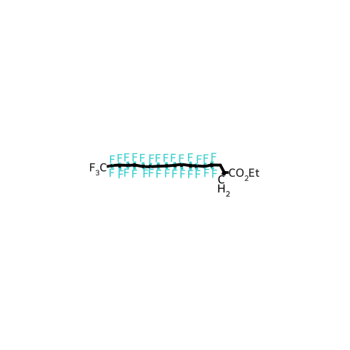 C=C(CC(F)(F)C(F)(F)C(F)(F)C(F)(F)C(F)(F)C(F)(F)C(F)(F)C(F)(F)C(F)(F)C(F)(F)C(F)(F)C(F)(F)C(F)(F)C(F)(F)C(F)(F)F)C(=O)OCC